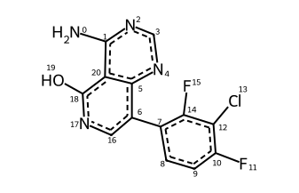 Nc1ncnc2c(-c3ccc(F)c(Cl)c3F)cnc(O)c12